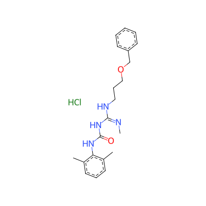 CN=C(NCCCOCc1ccccc1)NC(=O)Nc1c(C)cccc1C.Cl